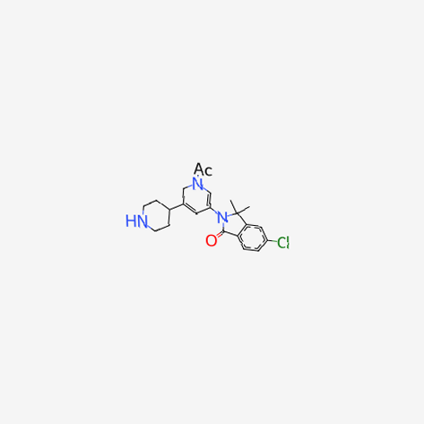 CC(=O)N1C=C(N2C(=O)c3ccc(Cl)cc3C2(C)C)C=C(C2CCNCC2)C1